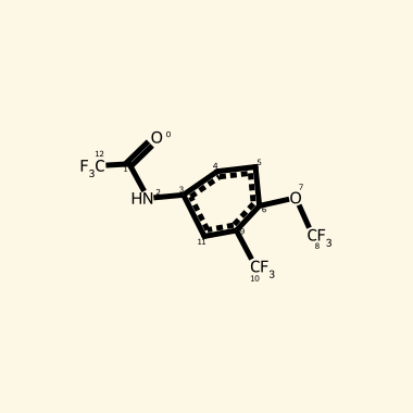 O=C(Nc1ccc(OC(F)(F)F)c(C(F)(F)F)c1)C(F)(F)F